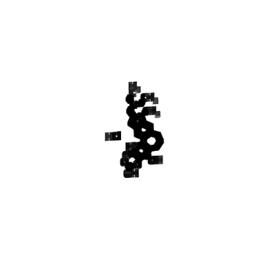 CCN(CC)Cc1cc2cc3c(cc2n1C)CCCc1c-3[nH]c(=O)c(OC(=O)O)c1O.Cl